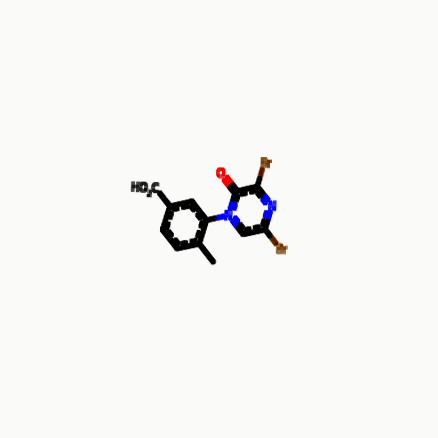 Cc1ccc(C(=O)O)cc1-n1cc(Br)nc(Br)c1=O